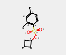 Cc1ccc(S(=O)(=O)OC2CCC2)c(C)c1